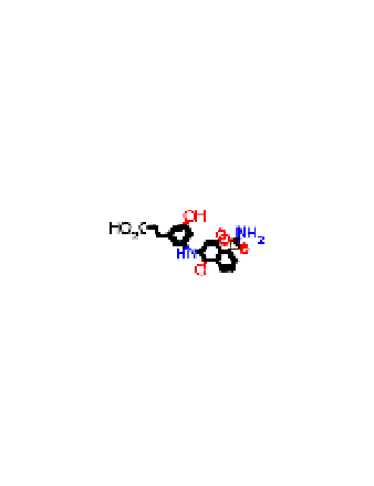 NS(=O)(=O)c1cccc2c1C(=O)C=C(Nc1cc(O)cc(CCC(=O)O)c1)C2=O